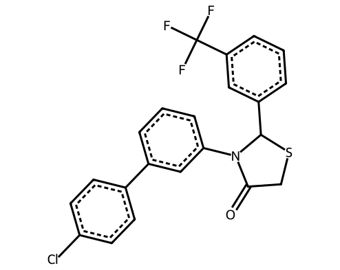 O=C1CSC(c2cccc(C(F)(F)F)c2)N1c1cccc(-c2ccc(Cl)cc2)c1